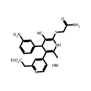 Br.CCOC(=O)Cc1cc(C2=C(C)NC(SCC(N)=O)=C(C#N)C2c2cccc([N+](=O)[O-])c2)ccn1